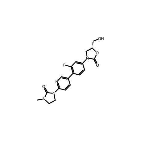 CN1CCN(c2ccc(-c3ccc(N4C[C@H](CO)OC4=O)cc3F)cn2)C1=O